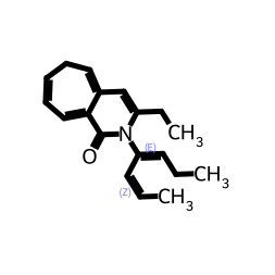 C/C=C\C(=C/CC)n1c(CC)cc2c(c1=O)=CC=CCC=2